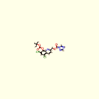 CC(C)(C)OC(=O)Oc1c(Cl)cc(Cl)c2ccc(COC(=O)n3cncn3)nc12